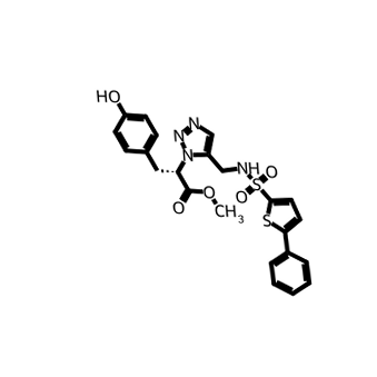 COC(=O)[C@H](Cc1ccc(O)cc1)n1nncc1CNS(=O)(=O)c1ccc(-c2ccccc2)s1